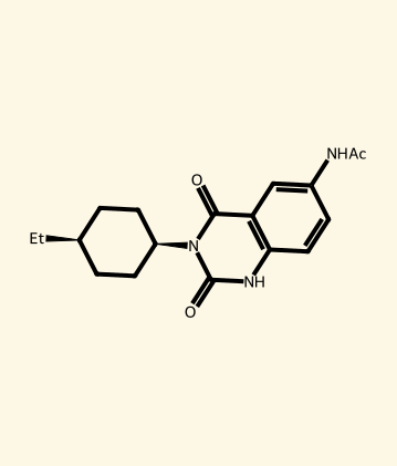 CC[C@H]1CC[C@@H](n2c(=O)[nH]c3ccc(NC(C)=O)cc3c2=O)CC1